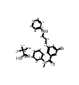 CN(C(=O)c1cc(Br)cc(OCCNc2ccncc2)c1)C1CCCCC1.O=C(O)C(F)(F)F